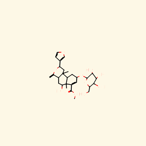 C=C1OC(c2ccoc2)CC2(C)C1CC(O)C1(C)C(C(=O)OC)=CC(OC3OC(CO)C(O)C(O)C3O)CC21